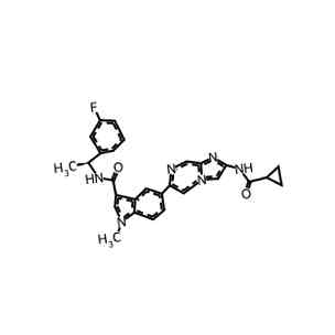 C[C@H](NC(=O)c1cn(C)c2ccc(-c3cn4cc(NC(=O)C5CC5)nc4cn3)cc12)c1cccc(F)c1